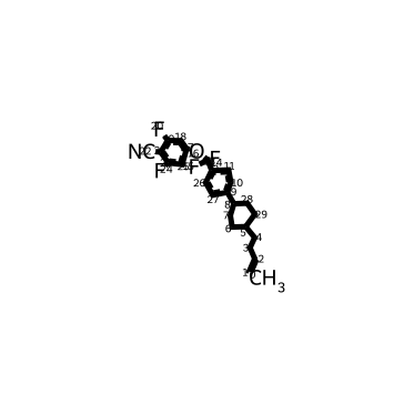 CC=CCCC1CCC(c2ccc(C(F)(F)Oc3cc(F)c(C#N)c(F)c3)cc2)CC1